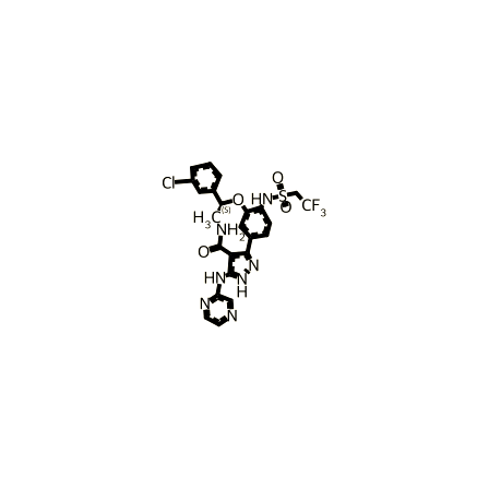 C[C@H](Oc1cc(-c2n[nH]c(Nc3cnccn3)c2C(N)=O)ccc1NS(=O)(=O)CC(F)(F)F)c1cccc(Cl)c1